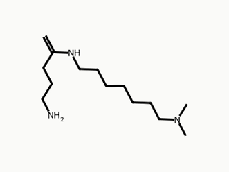 C=C(CCCN)NCCCCCCCN(C)C